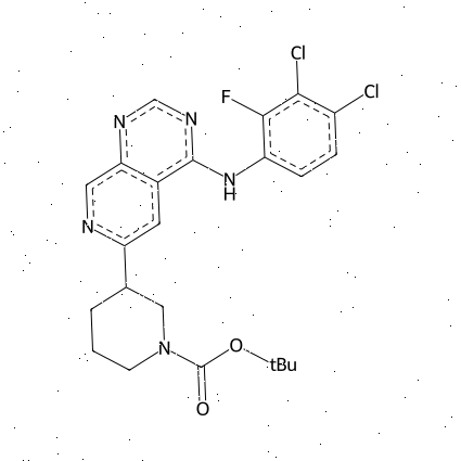 CC(C)(C)OC(=O)N1CCCC(c2cc3c(Nc4ccc(Cl)c(Cl)c4F)ncnc3cn2)C1